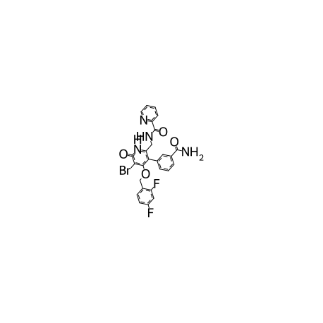 NC(=O)c1cccc(-c2c(CNC(=O)c3ccccn3)[nH]c(=O)c(Br)c2OCc2ccc(F)cc2F)c1